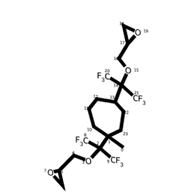 CC1(C(OCC2CO2)(C(F)(F)F)C(F)(F)F)CCCC(C(OCC2CO2)(C(F)(F)F)C(F)(F)F)CC1